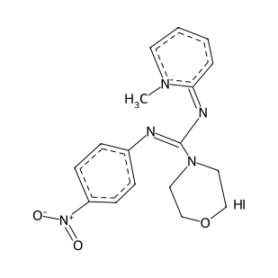 Cn1ccccc1=NC(=Nc1ccc([N+](=O)[O-])cc1)N1CCOCC1.I